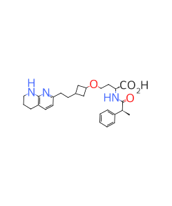 C[C@H](C(=O)N[C@@H](CCOC1CC(CCc2ccc3c(n2)NCCC3)C1)C(=O)O)c1ccccc1